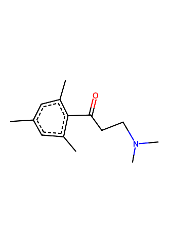 Cc1cc(C)c(C(=O)CCN(C)C)c(C)c1